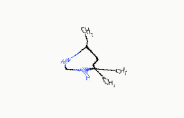 CC1CC(C)(C)NCN1